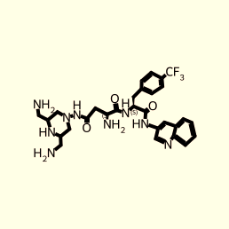 NCC1CN(NC(=O)C[C@H](N)C(=O)N[C@@H](Cc2ccc(C(F)(F)F)cc2)C(=O)Nc2cnc3ccccc3c2)CC(CN)N1